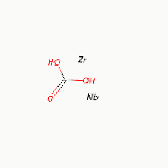 O=C(O)O.[Nb].[Zr]